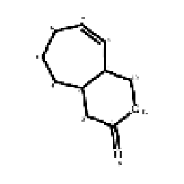 O=C1CC2CCCC=CC2CO1